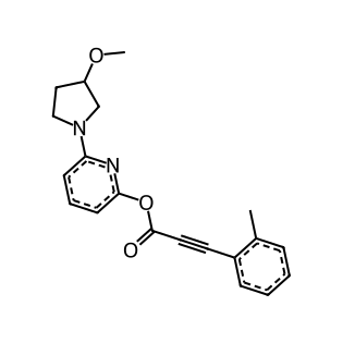 COC1CCN(c2cccc(OC(=O)C#Cc3ccccc3C)n2)C1